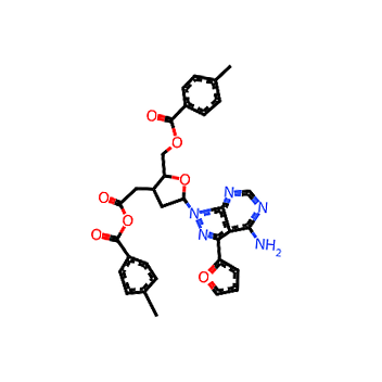 Cc1ccc(C(=O)OCC2OC(n3nc(-c4ccco4)c4c(N)ncnc43)CC2CC(=O)OC(=O)c2ccc(C)cc2)cc1